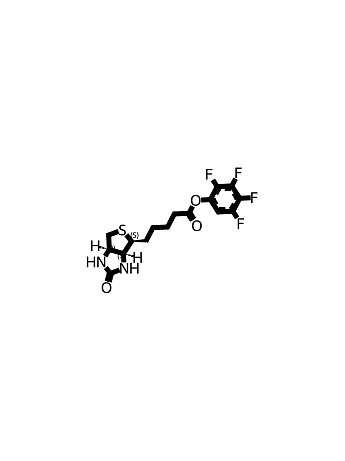 O=C1N[C@H]2[C@H](CS[C@H]2CCCCC(=O)Oc2cc(F)c(F)c(F)c2F)N1